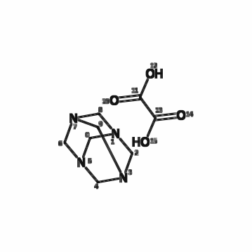 C1N2CN3CN1CN(C2)C3.O=C(O)C(=O)O